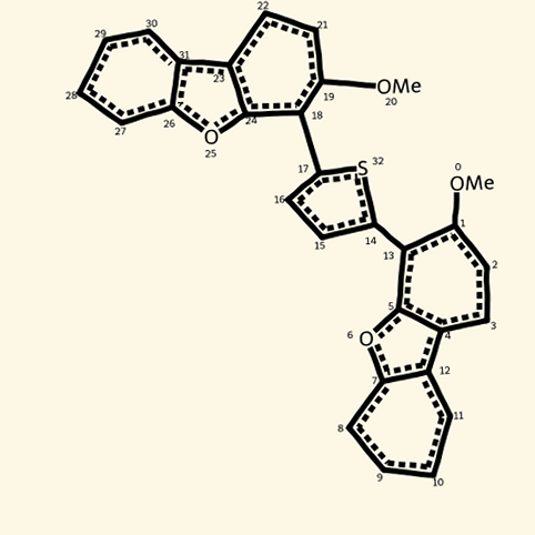 COc1ccc2c(oc3ccccc32)c1-c1ccc(-c2c(OC)ccc3c2oc2ccccc23)s1